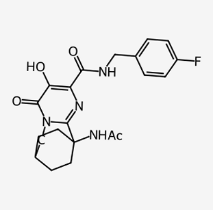 CC(=O)NC12CCC(CC1)Cn1c2nc(C(=O)NCc2ccc(F)cc2)c(O)c1=O